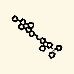 C1=C(/C=C/c2ccc3c(c2)C2(CCCCC2)c2cc(N(c4ccccc4)c4ccccc4)ccc2-3)CCc2cc(-c3cccc4c(-c5ccccc5)ccc(-c5ccccc5)c34)ccc21